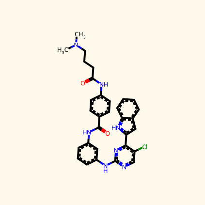 CN(C)CCCC(=O)Nc1ccc(C(=O)Nc2cccc(Nc3ncc(Cl)c(-c4cc5ccccc5[nH]4)n3)c2)cc1